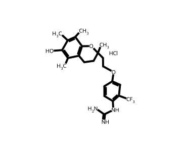 Cc1c(C)c2c(c(C)c1O)CCC(C)(CCOc1ccc(NC(=N)N)c(C(F)(F)F)c1)O2.Cl